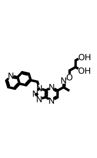 CC(=NOCC(O)CO)c1cnc2nnn(Cc3ccc4ncccc4c3)c2n1